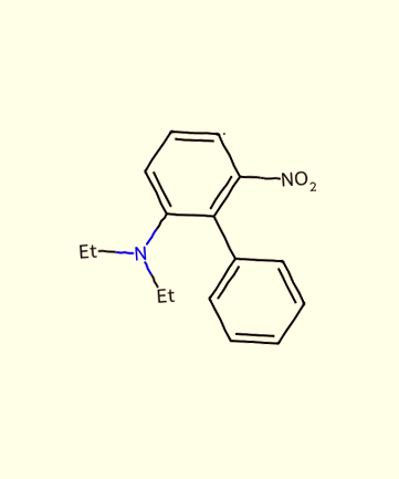 CCN(CC)c1cc[c]c([N+](=O)[O-])c1-c1ccccc1